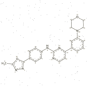 Cc1nnc(-c2ccc(Nc3nccc(-c4cccc(N5CCOCC5)c4)n3)cc2)o1